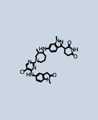 CC1CN(c2ncc(Cl)c(Nc3ccc4c(c3)CC(=O)N4C)n2)CCCC1Nc1ccc2c(C3CCC(=O)NC3=O)nn(C)c2c1